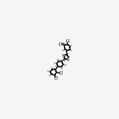 Clc1ccc(-c2csc(-c3ccc(-c4cccc(Cl)c4Cl)cc3)n2)cc1Cl